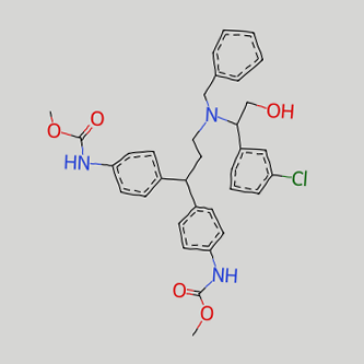 COC(=O)Nc1ccc(C(CCN(Cc2ccccc2)C(CO)c2cccc(Cl)c2)c2ccc(NC(=O)OC)cc2)cc1